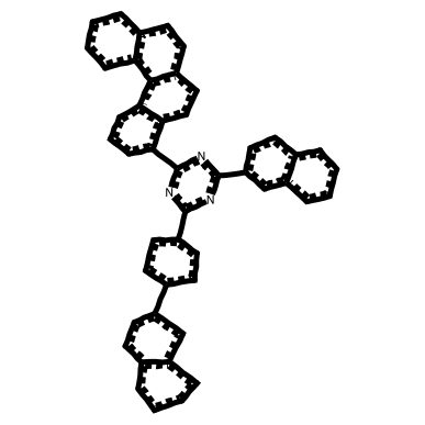 c1ccc2cc(-c3ccc(-c4nc(-c5ccc6ccccc6c5)nc(-c5cccc6c5ccc5ccc7ccccc7c56)n4)cc3)ccc2c1